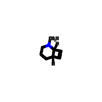 O=C(O)N1CCC[C@H]2C=C[C@H]21